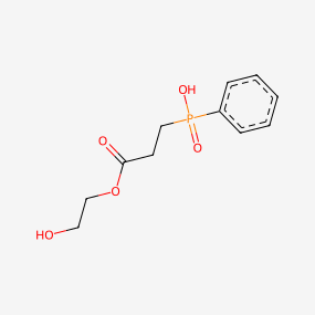 O=C(CCP(=O)(O)c1ccccc1)OCCO